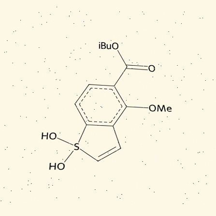 COc1c(C(=O)OCC(C)C)ccc2c1C=CS2(O)O